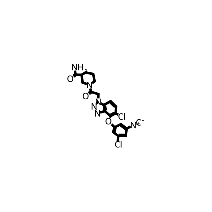 [C-]#[N+]c1cc(Cl)cc(Oc2c(Cl)ccc3c2nnn3CC(=O)N2CCCC(C(N)=O)C2)c1